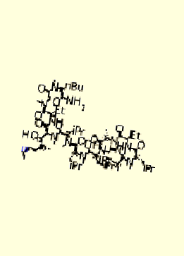 C/C=C\C[C@@H](C)[C@H](O)C(C(=O)N[C@@H](CC)C(=O)N(C)CC(=O)N(C)[C@@H](CCCC)C(N)=O)N(C)C(=O)[C@H](C(C)C)N(C)C(=O)[C@@H](CC(C)C)N(C)C(O)[C@H](CC(C)C)N(C)C(=O)[C@H](C)NC(=O)C(CC)NC(=O)[C@H](CC(C)C)N(C)C(=O)[C@@H](C)C(C)C